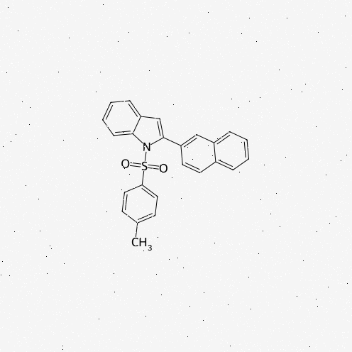 Cc1ccc(S(=O)(=O)n2c(-c3ccc4ccccc4c3)cc3ccccc32)cc1